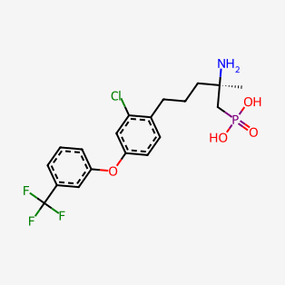 C[C@@](N)(CCCc1ccc(Oc2cccc(C(F)(F)F)c2)cc1Cl)CP(=O)(O)O